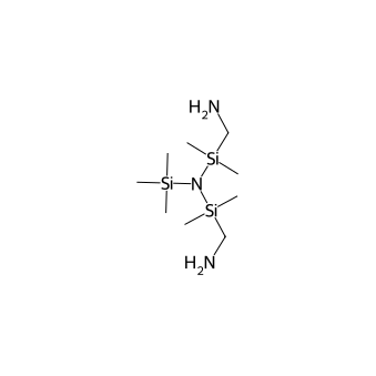 C[Si](C)(C)N([Si](C)(C)CN)[Si](C)(C)CN